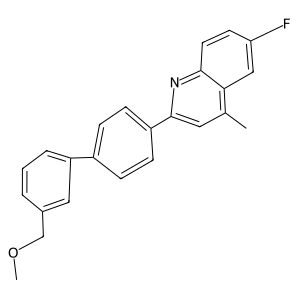 COCc1cccc(-c2ccc(-c3cc(C)c4cc(F)ccc4n3)cc2)c1